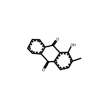 Cc1ccc2c(c1O)C(=O)c1ccccc1C2=O